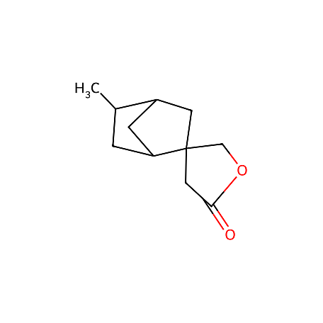 CC1CC2CC1CC21COC(=O)C1